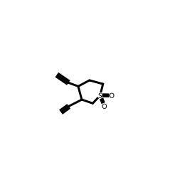 C#CC1CCS(=O)(=O)CC1C#C